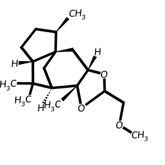 COCC1O[C@H]2C[C@@]34C[C@H](C(C)(C)[C@@H]3CC[C@H]4C)[C@@]2(C)O1